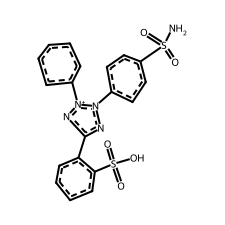 NS(=O)(=O)c1ccc(-n2nc(-c3ccccc3S(=O)(=O)O)n[n+]2-c2ccccc2)cc1